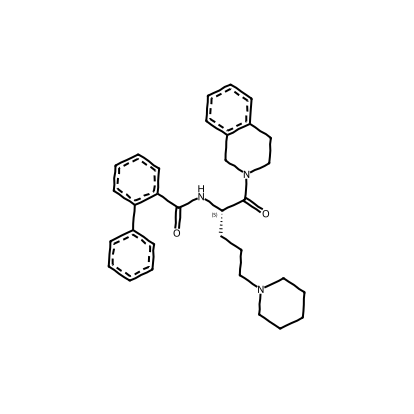 O=C(N[C@@H](CCCN1CCCCC1)C(=O)N1CCc2ccccc2C1)c1ccccc1-c1ccccc1